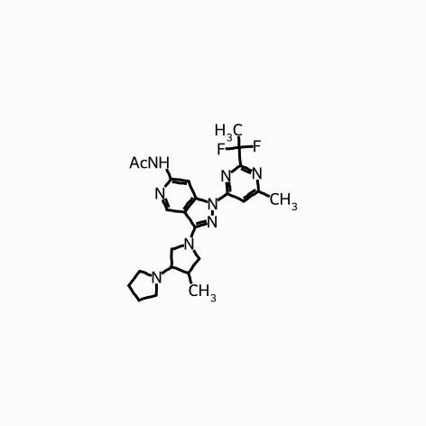 CC(=O)Nc1cc2c(cn1)c(N1CC(C)C(N3CCCC3)C1)nn2-c1cc(C)nc(C(C)(F)F)n1